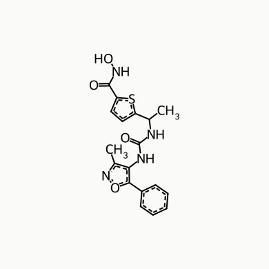 Cc1noc(-c2ccccc2)c1NC(=O)NC(C)c1ccc(C(=O)NO)s1